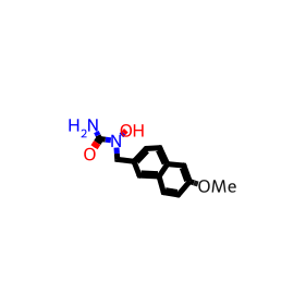 COc1ccc2cc(CN(O)C(N)=O)ccc2c1